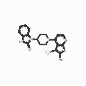 CC(=O)c1sc2nccc(N3CCC(n4c(=O)[nH]c5ccccc54)CC3)c2c1N